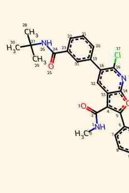 CNC(=O)c1c(-c2ccc(F)cc2)oc2nc(Cl)c(-c3cccc(C(=O)NC(C)(C)C)c3)cc12